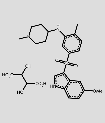 COc1ccc2[nH]cc(S(=O)(=O)c3ccc(C)c(NC4CCN(C)CC4)c3)c2c1.O=C(O)C(O)C(O)C(=O)O